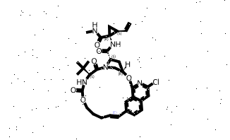 C=C[C@@H]1C[C@]1(NC(=O)[C@@H]1C[C@@H]2CN1C(=O)[C@H](C(C)(C)C)NC(=O)OCCC/C=C/c1ccc3cc(Cl)nc(c3c1)O2)C(=O)NC